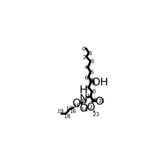 CCCCCCC[C@H](O)CCC(NC(=O)OCCCC)C(=O)OC